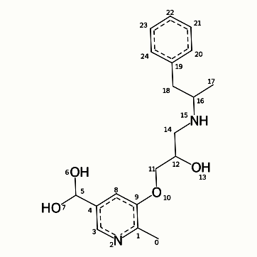 Cc1ncc(C(O)O)cc1OCC(O)CNC(C)Cc1ccccc1